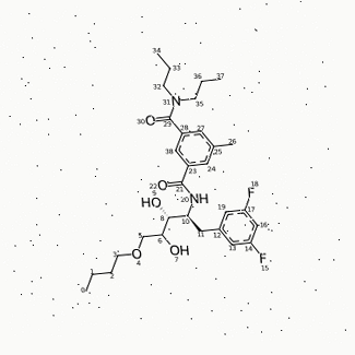 CCCCOCC(O)[C@H](O)[C@H](Cc1cc(F)cc(F)c1)NC(=O)c1cc(C)cc(C(=O)N(CCC)CCC)c1